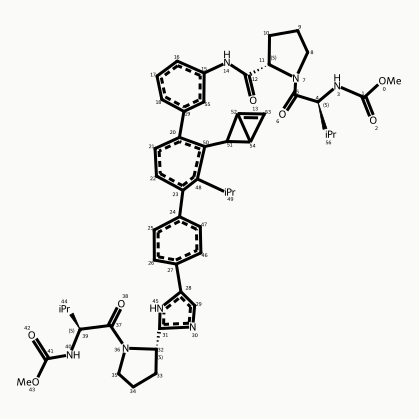 COC(=O)N[C@H](C(=O)N1CCC[C@H]1C(=O)Nc1cccc(-c2ccc(-c3ccc(-c4cnc([C@@H]5CCCN5C(=O)[C@@H](NC(=O)OC)C(C)C)[nH]4)cc3)c(C(C)C)c2C2C3=CC32)c1)C(C)C